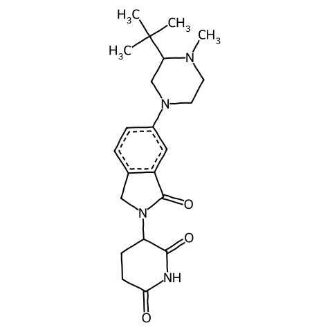 CN1CCN(c2ccc3c(c2)C(=O)N(C2CCC(=O)NC2=O)C3)CC1C(C)(C)C